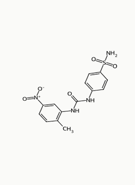 Cc1ccc([N+](=O)[O-])cc1NC(=O)Nc1ccc(S(N)(=O)=O)cc1